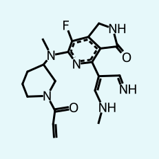 C=CC(=O)N1CCCC(N(C)c2nc(/C(C=N)=C/NC)c3c(c2F)CNC3=O)C1